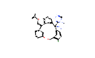 C=C(C)C(=O)/C=C1/c2cccc(c2)OCc2cc(ccc2Cl)C(NC)(c2nncn2C)c2ccc(C)c1c2